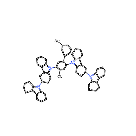 N#Cc1cccc(-c2cc(-n3c4ccccc4c4cc(-n5c6ccccc6c6ccccc65)ccc43)c(C#N)cc2-n2c3ccccc3c3cc(-n4c5ccccc5c5ccccc54)ccc32)c1